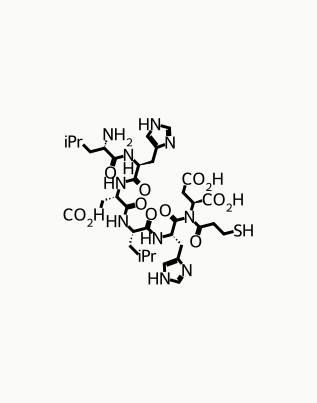 CC(C)C[C@H](NC(=O)[C@H](CC(=O)O)NC(=O)[C@H](Cc1c[nH]cn1)NC(=O)[C@@H](N)CC(C)C)C(=O)N[C@@H](Cc1c[nH]cn1)C(=O)N(C(=O)CCS)[C@@H](CC(=O)O)C(=O)O